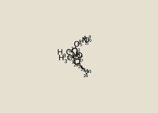 Cc1cc(OCCN2CCCC2)cc(=O)n1[C@H](C)c1ccc(C#CC2CC2)cc1